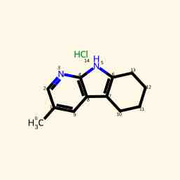 Cc1cnc2[nH]c3c(c2c1)CCCC3.Cl